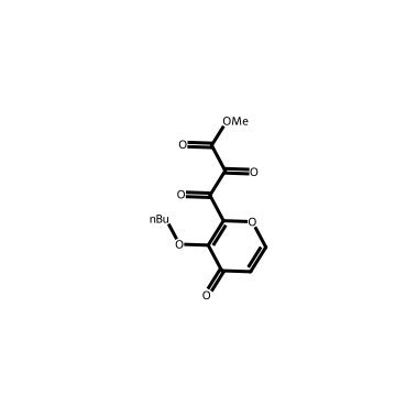 CCCCOc1c(C(=O)C(=O)C(=O)OC)occc1=O